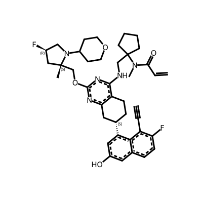 C#Cc1c(F)ccc2cc(O)cc([C@H]3CCc4c(nc(OC[C@]5(C)C[C@@H](F)CN5C5CCOCC5)nc4NCC4(N(C)C(=O)C=C)CCCC4)C3)c12